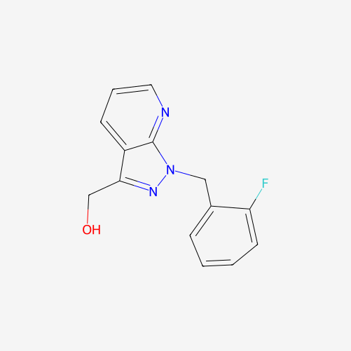 OCc1nn(Cc2ccccc2F)c2ncccc12